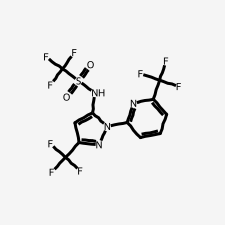 O=S(=O)(Nc1cc(C(F)(F)F)nn1-c1cccc(C(F)(F)F)n1)C(F)(F)F